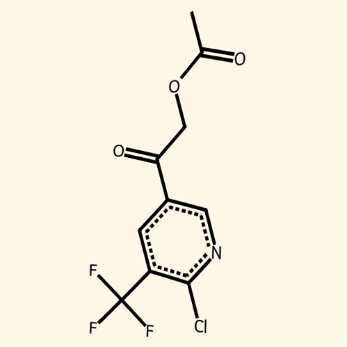 CC(=O)OCC(=O)c1cnc(Cl)c(C(F)(F)F)c1